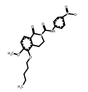 CCCCCOc1c(OC)ccc2c1CCN(C(=O)Nc1ccc([N+](=O)[O-])cc1)C2=O